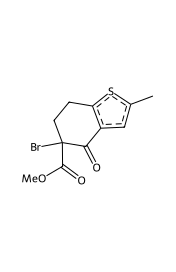 COC(=O)C1(Br)CCc2sc(C)cc2C1=O